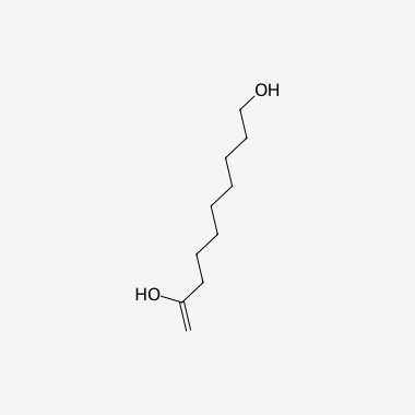 C=C(O)CCCCCCCCO